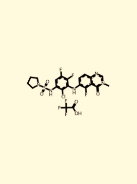 Cn1cnc2ccc(Nc3c(F)c(F)cc(NS(=O)(=O)N4CCCC4)c3Cl)c(F)c2c1=O.O=C(O)C(F)(F)F